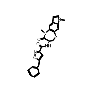 CN1C(=O)[C@@H](NC(=O)c2cc(Cc3ccccc3)on2)CSc2cc3c(ccn3C)cc21